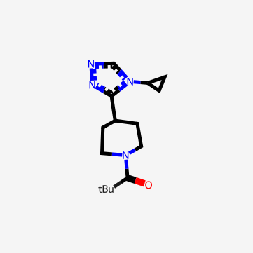 CC(C)(C)C(=O)N1CCC(c2nncn2C2CC2)CC1